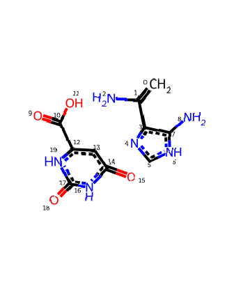 C=C(N)c1nc[nH]c1N.O=C(O)c1cc(=O)[nH]c(=O)[nH]1